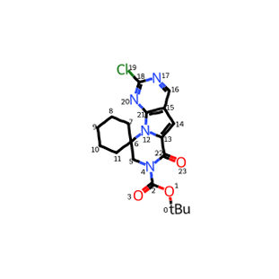 CC(C)(C)OC(=O)N1CC2(CCCCC2)n2c(cc3cnc(Cl)nc32)C1=O